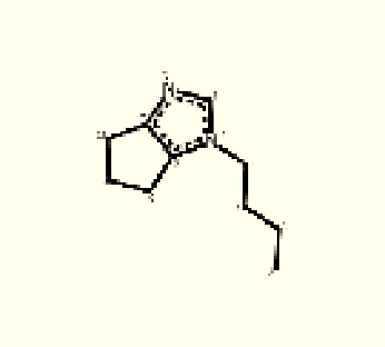 CCCCn1cnc2c1CCC2